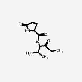 CCC(=O)C(NC(=O)C1CCC(=O)N1)C(C)C